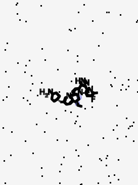 C=c1ccc(-c2c[nH]nc2-c2ccc(F)c(C)n2)n/c1=C/C(=C\C)C1=CCC(C[C@H]2CC[C@H](N)CC2)=CN=C1